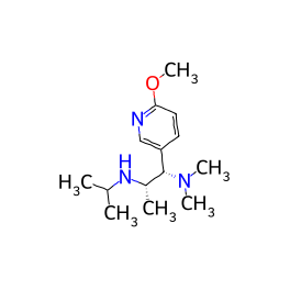 COc1ccc([C@@H]([C@H](C)NC(C)C)N(C)C)cn1